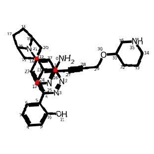 Nc1nnc(-c2ccccc2O)cc1N1CC2CCC(C1)N2c1ccnc(C#CCOC2CCCNC2)c1